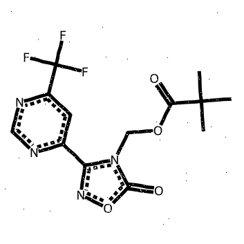 CC(C)(C)C(=O)OCn1c(-c2cc(C(F)(F)F)ncn2)noc1=O